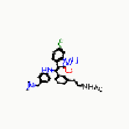 CC(=O)NCCc1cccc(C(Nc2ccc(CN(C)C)cc2)=C2C(=O)Nc3cc(F)ccc32)c1